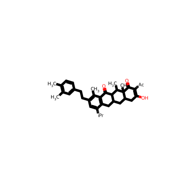 CC(=O)C1=C(O)CC2CC3Cc4c(C(C)C)cc(CCc5ccc(C)c(C)c5)c(C)c4C(=O)C3C(C)C2(C)C1=O